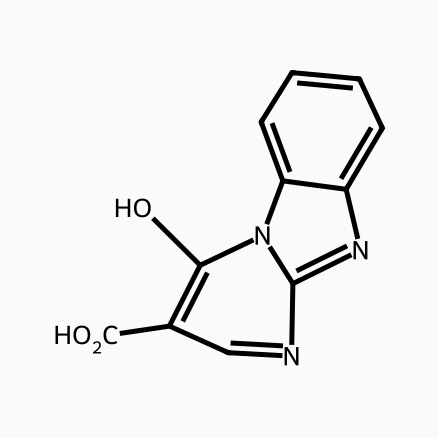 O=C(O)c1cnc2nc3ccccc3n2c1O